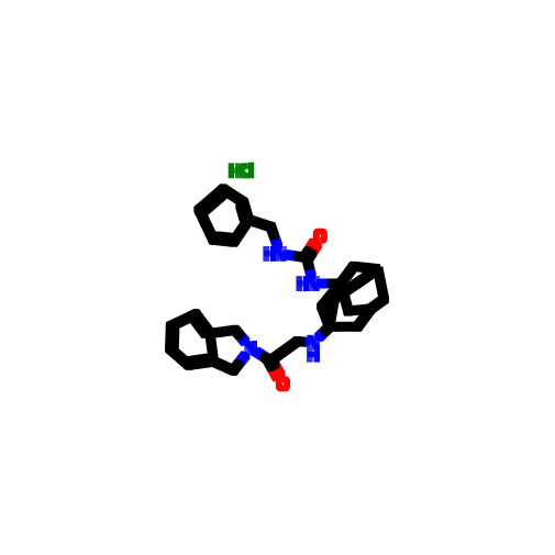 Cl.O=C(NCc1ccccc1)NC12CC3CC(CC(NCC(=O)N4Cc5ccccc5C4)(C3)C1)C2